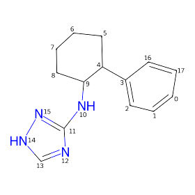 c1ccc(C2CCCCC2Nc2nc[nH]n2)cc1